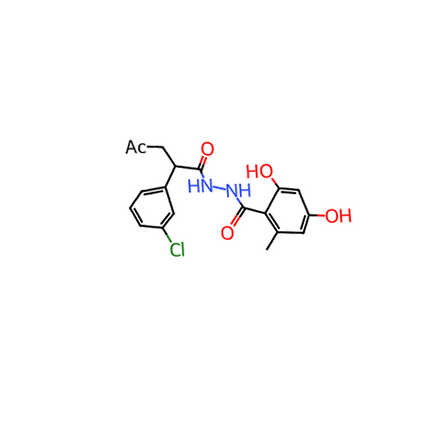 CC(=O)CC(C(=O)NNC(=O)c1c(C)cc(O)cc1O)c1cccc(Cl)c1